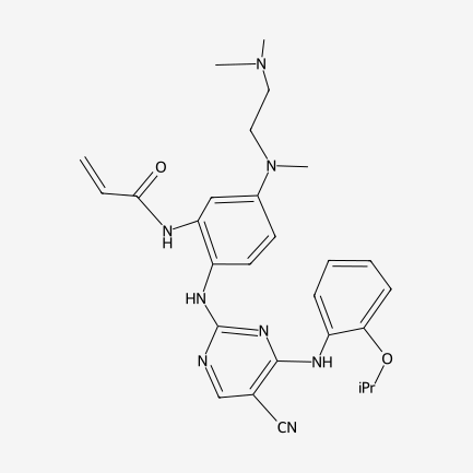 C=CC(=O)Nc1cc(N(C)CCN(C)C)ccc1Nc1ncc(C#N)c(Nc2ccccc2OC(C)C)n1